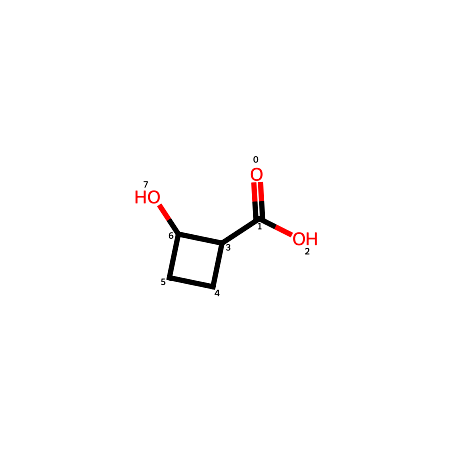 O=C(O)C1CCC1O